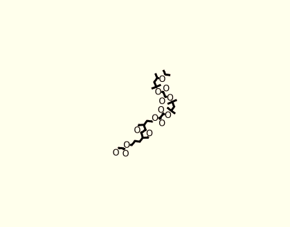 CC(C)OC(C)CC(C)(C)OC(=O)C(=O)OC(C)(C)CC(C)(C)OC(=O)C(=O)OCCC1COC2C(CCCOC(=O)C=O)COC12